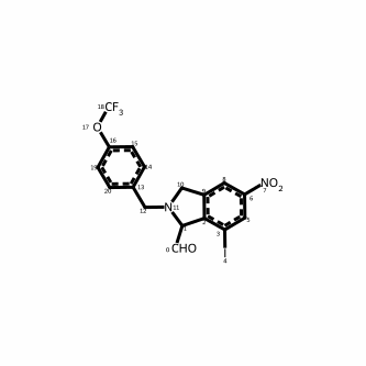 O=CC1c2c(I)cc([N+](=O)[O-])cc2CN1Cc1ccc(OC(F)(F)F)cc1